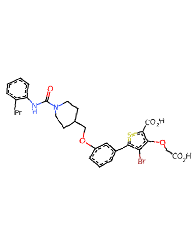 CC(C)c1ccccc1NC(=O)N1CCC(COc2cccc(-c3sc(C(=O)O)c(OCC(=O)O)c3Br)c2)CC1